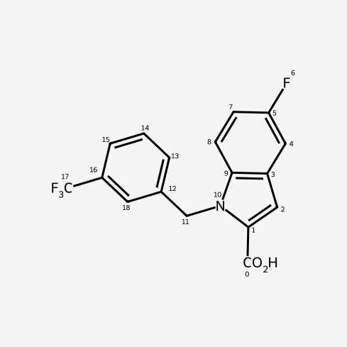 O=C(O)c1cc2cc(F)ccc2n1Cc1cccc(C(F)(F)F)c1